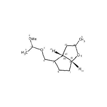 COC(C)OCC1CC[C@H]2OC(C)C[C@@H]12